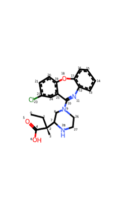 CC[C@@](C)(C(=O)O)C1CN(C2=Nc3ccccc3Oc3ccc(Cl)cc32)CCN1